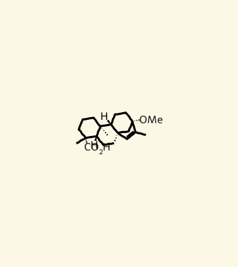 CO[C@]12CC[C@@H]3[C@@](C=C1C)(CC[C@H]1[C@@]3(C)CCC[C@@]1(C)C(=O)O)C2